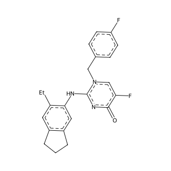 CCc1cc2c(cc1Nc1nc(=O)c(F)cn1Cc1ccc(F)cc1)CCC2